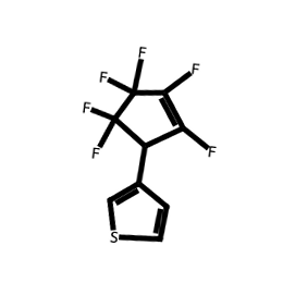 FC1=C(F)C(F)(F)C(F)(F)C1c1ccsc1